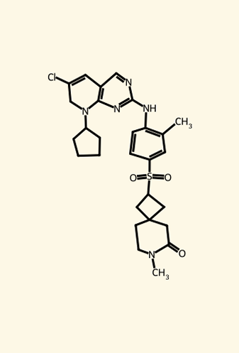 Cc1cc(S(=O)(=O)C2CC3(CCN(C)C(=O)C3)C2)ccc1Nc1ncc2c(n1)N(C1CCCC1)CC(Cl)=C2